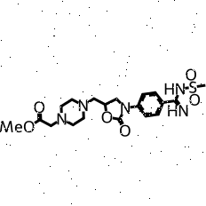 COC(=O)CN1CCN(CC2CN(c3ccc(C(=N)NS(C)(=O)=O)cc3)C(=O)O2)CC1